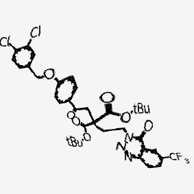 CC(C)(C)OC(=O)C(CCn1nnc2ccc(C(F)(F)F)cc2c1=O)(CC(=O)c1ccc(OCc2ccc(Cl)c(Cl)c2)cc1)C(=O)OC(C)(C)C